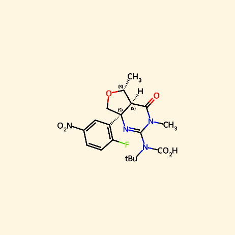 C[C@H]1OC[C@]2(c3cc([N+](=O)[O-])ccc3F)N=C(N(C(=O)O)C(C)(C)C)N(C)C(=O)[C@H]12